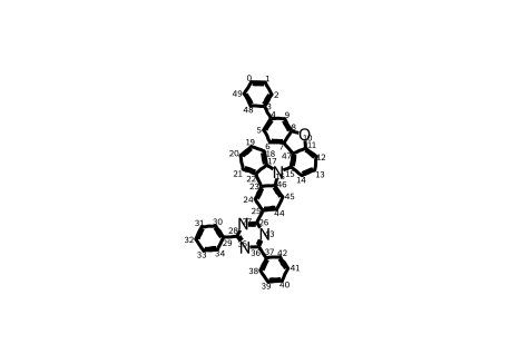 c1ccc(-c2ccc3c(c2)oc2cccc(-n4c5ccccc5c5cc(-c6nc(-c7ccccc7)nc(-c7ccccc7)n6)ccc54)c23)cc1